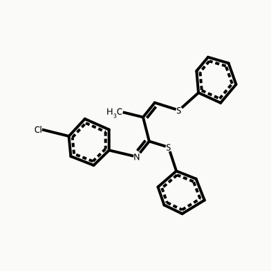 CC(=CSc1ccccc1)C(=Nc1ccc(Cl)cc1)Sc1ccccc1